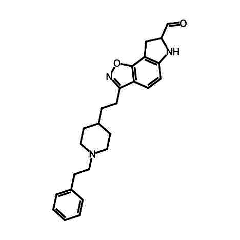 O=CC1Cc2c(ccc3c(CCC4CCN(CCc5ccccc5)CC4)noc23)N1